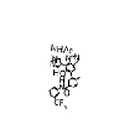 CC(=O)Nc1ncc2cc(-c3cc(C(=O)Nc4cccc(C(F)(F)F)c4)ccc3C)c(O)c(-c3cnn(C)c3)c2n1